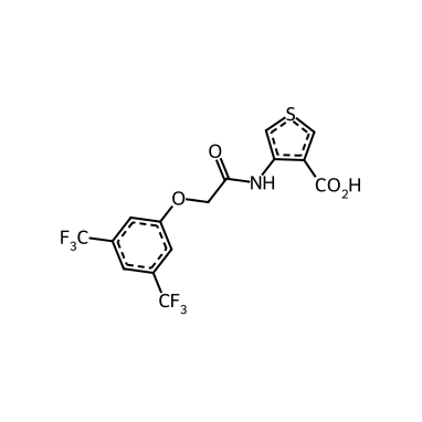 O=C(COc1cc(C(F)(F)F)cc(C(F)(F)F)c1)Nc1cscc1C(=O)O